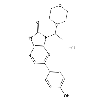 CC(N1CCOCC1)n1c(=O)[nH]c2ncc(-c3ccc(O)cc3)nc21.Cl